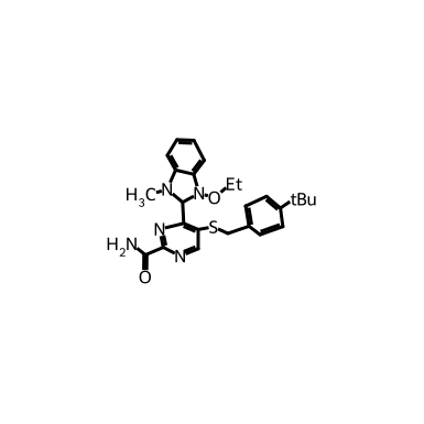 CCON1c2ccccc2N(C)C1c1nc(C(N)=O)ncc1SCc1ccc(C(C)(C)C)cc1